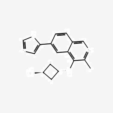 Cc1ncc2ccc(-c3cncs3)cc2c1O[C@H]1C[C@H](O)C1